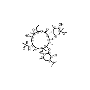 CC[C@H]1OC(=O)[C@H](C)[C@@H](O[C@H]2C[C@@](C)(OC)[C@@H](O)[C@H](C)O2)[C@H](C)[C@@H](O[C@@H]2O[C@H](C)C[C@H](N(C)C)[C@H]2O)[C@](C)(O)C[C@@H](C)[C@H](NS(C)(=O)=O)[C@H](C)[C@@H](O)[C@]1(C)O